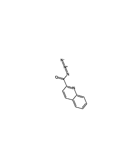 [N-]=[N+]=NC(=O)c1ccc2ccccc2n1